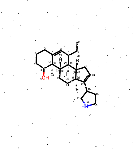 CCC1C=C2CCCC(O)[C@]2(C)[C@H]2CC[C@]3(C)C(C4CCNC4)=CC[C@H]3[C@H]12